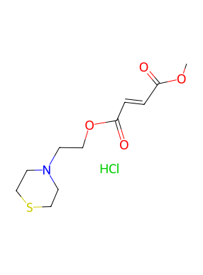 COC(=O)/C=C/C(=O)OCCN1CCSCC1.Cl